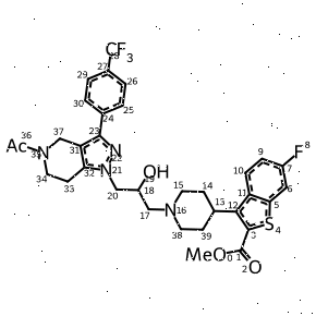 COC(=O)c1sc2cc(F)ccc2c1C1CCN(CC(O)Cn2nc(-c3ccc(C(F)(F)F)cc3)c3c2CCN(C(C)=O)C3)CC1